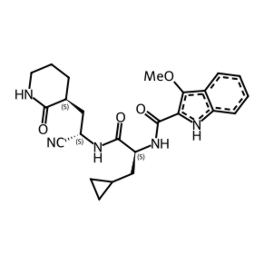 COc1c(C(=O)N[C@@H](CC2CC2)C(=O)N[C@H](C#N)C[C@@H]2CCCNC2=O)[nH]c2ccccc12